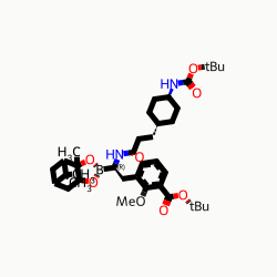 COc1c(C[C@H](NC(=O)CC[C@H]2CC[C@H](NC(=O)OC(C)(C)C)CC2)B2OC3CC4CC(C4(C)C)C3(C)O2)cccc1C(=O)OC(C)(C)C